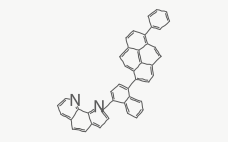 c1ccc(-c2ccc3ccc4c(-c5ccc(-c6ccc7ccc8cccnc8c7n6)c6ccccc56)ccc5ccc2c3c54)cc1